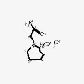 Cl.Cl.NC(=O)CN1CCCCC1